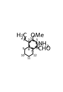 C=Cc1c(OC)ccc2c1CCCC2.NC=O